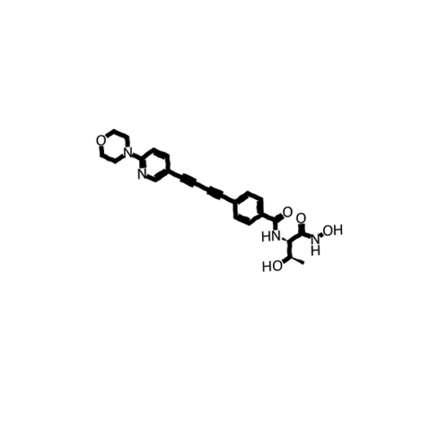 C[C@@H](O)[C@H](NC(=O)c1ccc(C#CC#Cc2ccc(N3CCOCC3)nc2)cc1)C(=O)NO